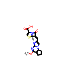 COC1=Nc2nc(/C=C3/C(=O)N4C(C(=O)O)=CS[C@H]34)cn2C2CCC=C12